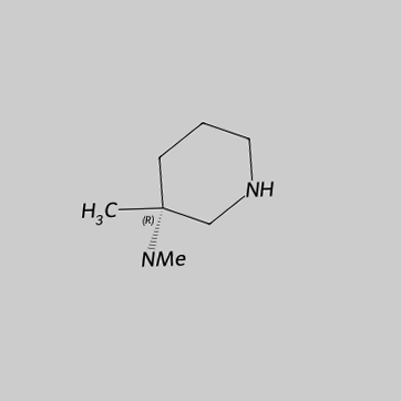 CN[C@]1(C)CCCNC1